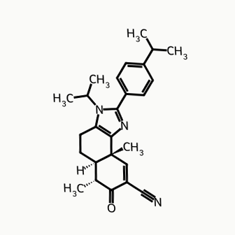 CC(C)c1ccc(-c2nc3c(n2C(C)C)CC[C@@H]2[C@@H](C)C(=O)C(C#N)=C[C@@]32C)cc1